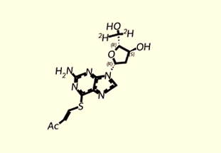 [2H]C([2H])(O)[C@H]1O[C@@H](n2cnc3c(SC=CC(C)=O)nc(N)nc32)C[C@@H]1O